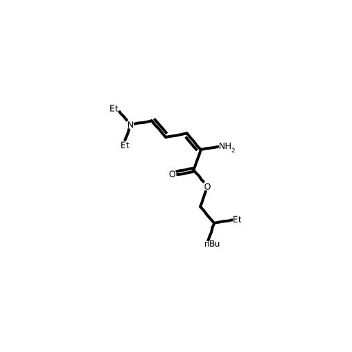 CCCCC(CC)COC(=O)/C(N)=C\C=C\N(CC)CC